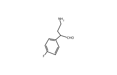 NCCC(C=O)c1ccc(F)cc1